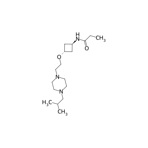 CCC(=O)N[C@H]1C[C@H](OCCN2CCN(CC(C)C)CC2)C1